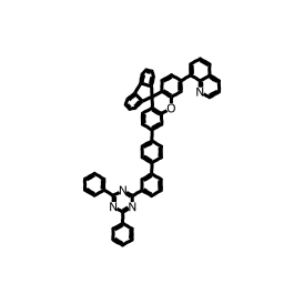 c1ccc(-c2nc(-c3ccccc3)nc(-c3cccc(-c4ccc(-c5ccc6c(c5)Oc5cc(-c7cccc8cccnc78)ccc5C65c6ccccc6-c6ccccc65)cc4)c3)n2)cc1